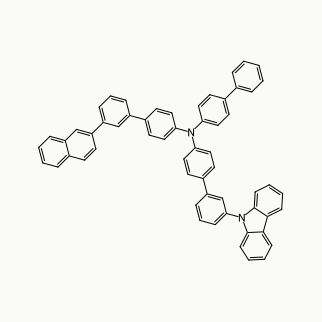 c1ccc(-c2ccc(N(c3ccc(-c4cccc(-c5ccc6ccccc6c5)c4)cc3)c3ccc(-c4cccc(-n5c6ccccc6c6ccccc65)c4)cc3)cc2)cc1